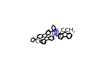 CC1(c2ccc3c(c2)C2(c4ccccc4-c4ccc(Nc5ccc6c(c5)C(C)(C)c5ccccc5-6)cc42)c2cc(C4(C)CCCC4)ccc2-3)CCCC1